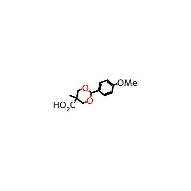 COc1ccc(C2OCC(C)(C(=O)O)CO2)cc1